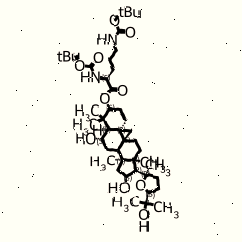 CC(C)(C)OC(=O)NCCC[C@H](NC(=O)OC(C)(C)C)C(=O)O[C@H]1CC[C@]23C[C@]24CC[C@]2(C)[C@@H]([C@@]5(C)CC[C@@H](C(C)(C)O)O5)[C@@H](O)C[C@@]2(C)C4C[C@H](O)[C@H]3C1(C)C